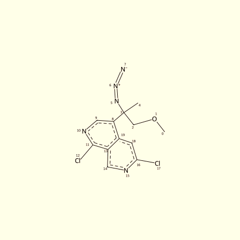 COCC(C)(N=[N+]=[N-])c1cnc(Cl)c2cnc(Cl)cc12